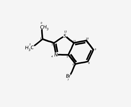 CC(C)c1nc2c(Br)cccc2s1